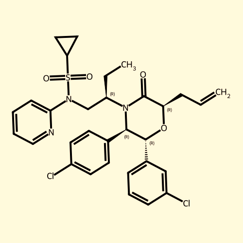 C=CC[C@H]1O[C@H](c2cccc(Cl)c2)[C@@H](c2ccc(Cl)cc2)N([C@H](CC)CN(c2ccccn2)S(=O)(=O)C2CC2)C1=O